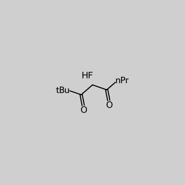 CCCC(=O)CC(=O)C(C)(C)C.F